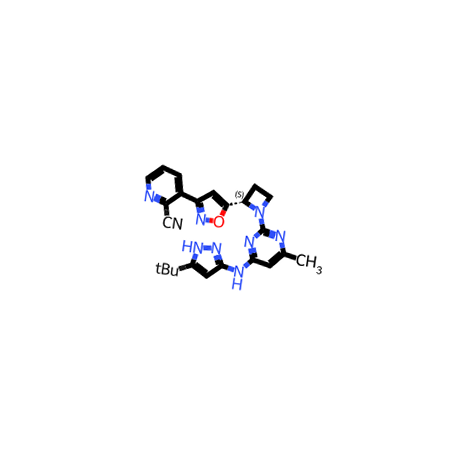 Cc1cc(Nc2cc(C(C)(C)C)[nH]n2)nc(N2CC[C@H]2c2cc(-c3cccnc3C#N)no2)n1